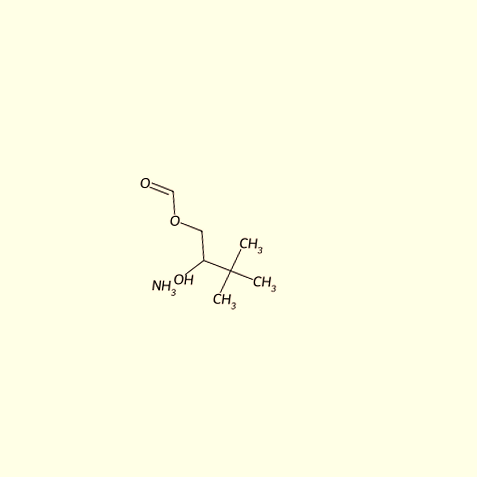 CC(C)(C)C(O)COC=O.N